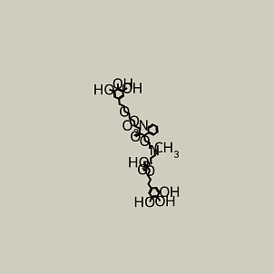 CN(CCCP(=O)(O)OCCCc1cc(O)c(O)c(O)c1)CCOC(C(=O)CCOCCOCCc1cc(O)c(O)c(O)c1)c1ccccc1[N+](=O)[O-]